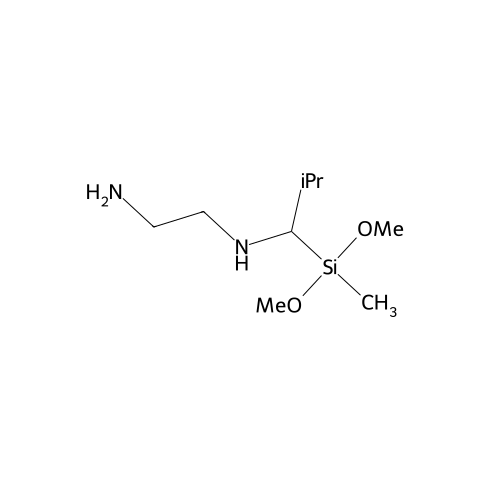 CO[Si](C)(OC)C(NCCN)C(C)C